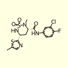 Cc1cnc([C@H]2C[C@@H](C(=O)Nc3ccc(F)c(Cl)c3)N(C)S(=O)(=O)N2)s1